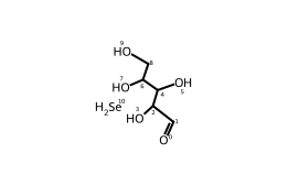 O=CC(O)C(O)C(O)CO.[SeH2]